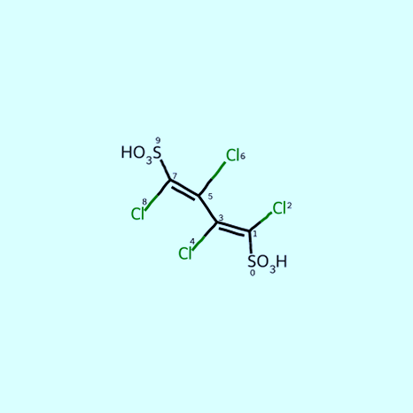 O=S(=O)(O)/C(Cl)=C(Cl)/C(Cl)=C(\Cl)S(=O)(=O)O